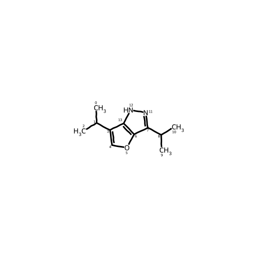 CC(C)c1coc2c(C(C)C)n[nH]c12